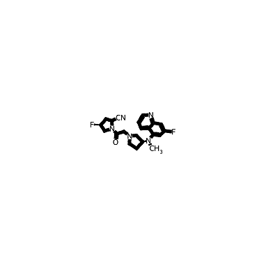 CN(c1cc(F)cc2ncccc12)[C@H]1CCN(CC(=O)N2C[C@@H](F)CC2C#N)C1